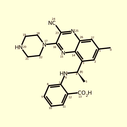 Cc1cc([C@@H](C)Nc2ccccc2C(=O)O)c2nc(N3CCNCC3)c(C#N)nc2c1